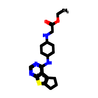 CCOC(=O)CNC1CCC(Nc2ncnc3sc4c(c23)CCC4)CC1